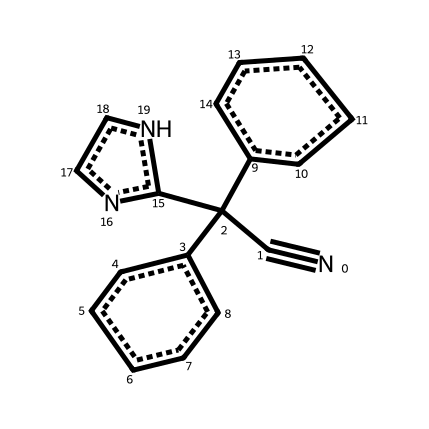 N#CC(c1ccccc1)(c1ccccc1)c1ncc[nH]1